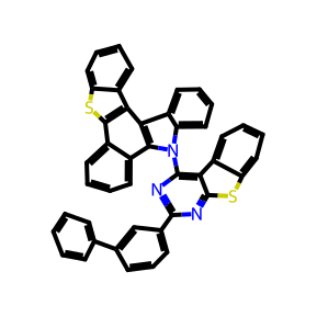 c1ccc(-c2cccc(-c3nc(-n4c5ccccc5c5c6c7ccccc7sc6c6ccccc6c54)c4c(n3)sc3ccccc34)c2)cc1